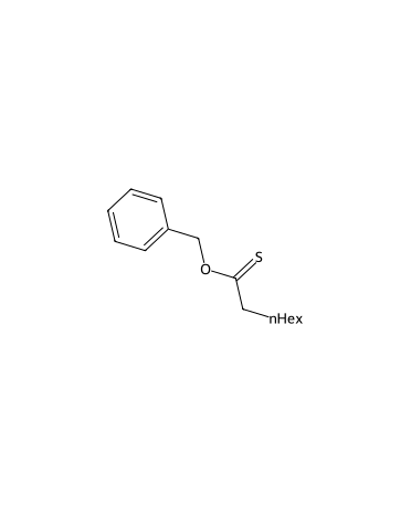 CCCCCCCC(=S)OCc1ccccc1